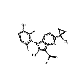 Cc1ccc(O)c(C)c1-n1c(N)c(C(N)=O)c2nc(C3(C(F)(F)F)CC3)cnc21